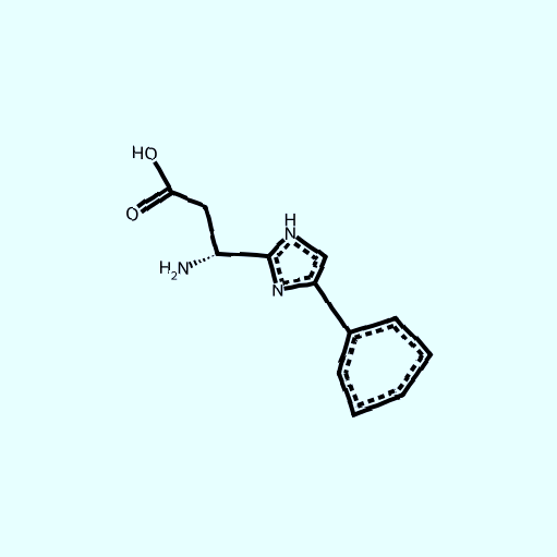 N[C@H](CC(=O)O)c1nc(-c2ccccc2)c[nH]1